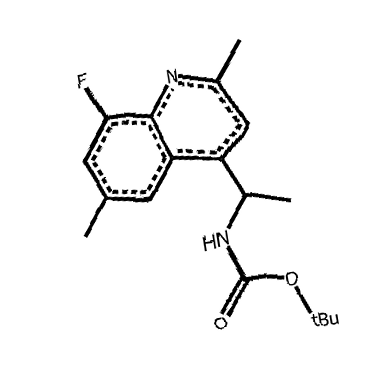 Cc1cc(F)c2nc(C)cc(C(C)NC(=O)OC(C)(C)C)c2c1